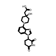 O=C(O)CC1(O)CCN(c2cccc3c2ncn3C2CCC(=O)NC2=O)CC1